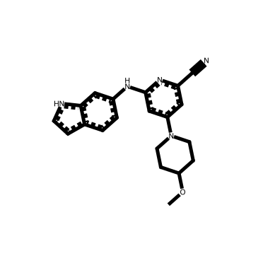 COC1CCN(c2cc(C#N)nc(Nc3ccc4cc[nH]c4c3)c2)CC1